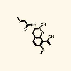 C=C(O)c1c(SC)ccc2c1OB(O)[C@@H](NC(=O)CSC)C2